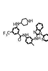 Cc1ccc(NC(=O)c2cc(NC3CCNCC3)cc(C(F)(F)F)c2)cc1Nc1nc2ccccc2n1-c1ccncn1